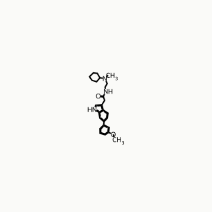 COc1cccc(-c2ccc3c(CC(=O)NCCN(C)C4CCCCC4)c[nH]c3c2)c1